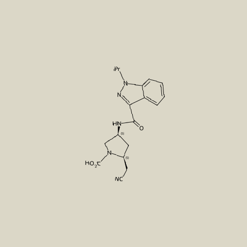 CC(C)n1nc(C(=O)N[C@H]2C[C@@H](CC#N)N(C(=O)O)C2)c2ccccc21